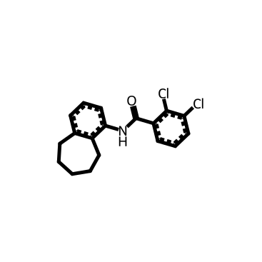 O=C(Nc1cccc2c1CCCCC2)c1cccc(Cl)c1Cl